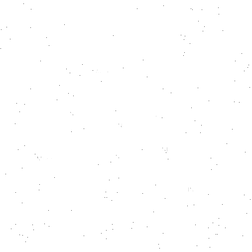 COc1cncc(-c2ncc(NC[C@@H]3CCCN3)c(Oc3cccc(OC(C)=O)c3)n2)c1